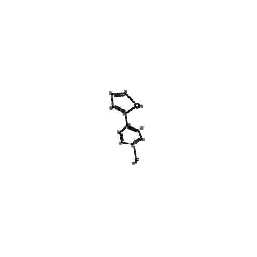 Fc1[c]cc(-c2ccco2)cc1